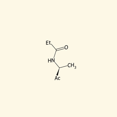 CCC(=O)N[C@@H](C)C(C)=O